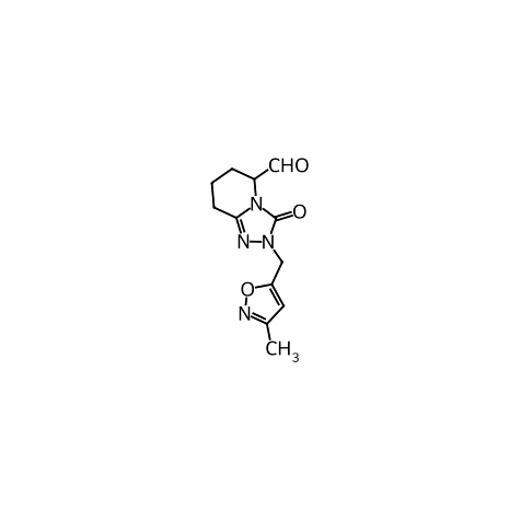 Cc1cc(Cn2nc3n(c2=O)C(C=O)CCC3)on1